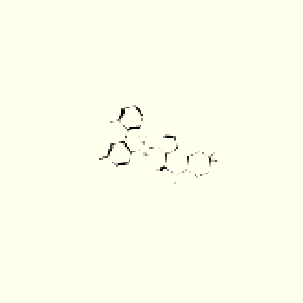 Cc1ccc(S(=O)(=O)N2N=CCC2C(=O)N(C)C2CCC(F)(F)CC2)c(-c2ccccc2F)c1